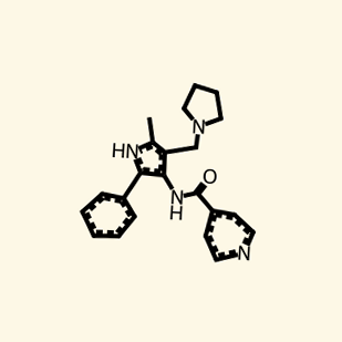 Cc1[nH]c(-c2ccccc2)c(NC(=O)c2ccncc2)c1CN1CCCC1